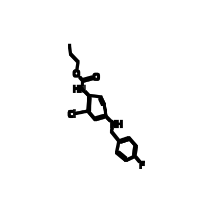 CCCOC(=O)Nc1ccc(NCc2ccc(F)cc2)cc1Cl